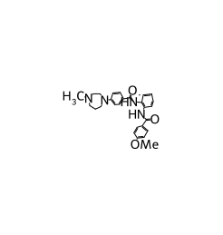 COc1ccc(C(=O)Nc2ccc[c]c2NC(=O)c2ccc(N3CCCN(C)CC3)cc2)cc1